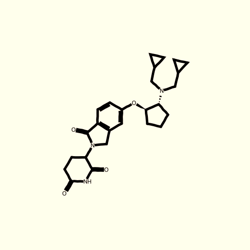 O=C1CCC(N2Cc3cc(O[C@@H]4CCC[C@H]4N(CC4CC4)CC4CC4)ccc3C2=O)C(=O)N1